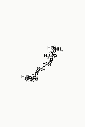 Cc1c(C(=O)c2ccc(N)c(C(=O)O)c2)c2ccccn2c1-c1ccc(OCC(=O)NCCCCCCNC(=O)COc2ccc(-c3c(C)c(C(=O)c4ccc(N)c(C(=O)O)c4)c4ccccn34)cc2)cc1